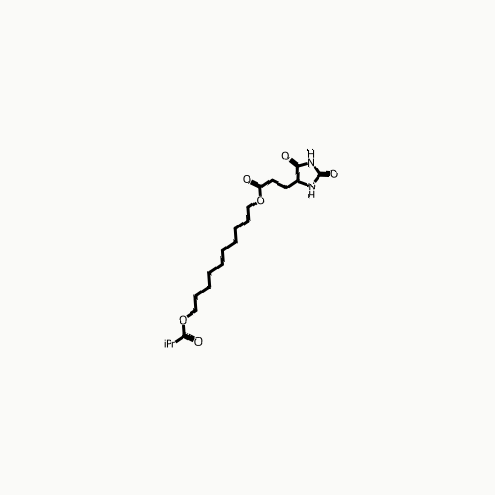 CC(C)C(=O)OCCCCCCCCCCOC(=O)CCC1NC(=O)NC1=O